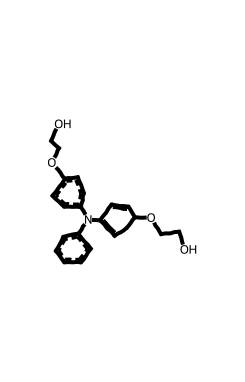 OCCOc1ccc(N(C2=CCC(OCCO)C=C2)c2ccccc2)cc1